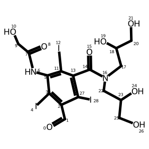 O=Cc1c(I)c(NC(=O)CO)c(I)c(C(=O)N(CC(O)CO)CC(O)CO)c1I